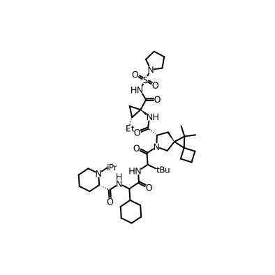 CC[C@@H]1C[C@]1(NC(=O)[C@@H]1C[C@@]2(CN1C(=O)C(NC(=O)C(NC(=O)[C@@H]1CCCCN1C(C)C)C1CCCCC1)C(C)(C)C)C(C)(C)C21CCC1)C(=O)NS(=O)(=O)N1CCCC1